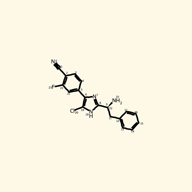 N#Cc1ccc(-c2nc([C@@H](N)Cc3ccccc3)[nH]c2Cl)cc1F